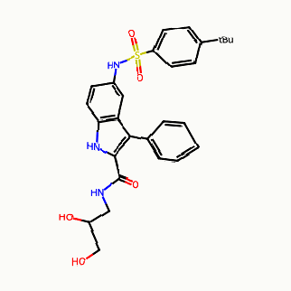 CC(C)(C)c1ccc(S(=O)(=O)Nc2ccc3[nH]c(C(=O)NCC(O)CO)c(-c4ccccc4)c3c2)cc1